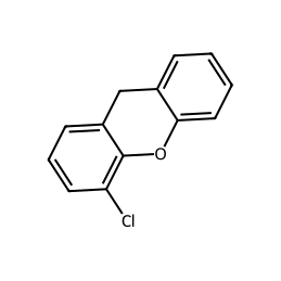 Clc1cccc2c1Oc1ccccc1C2